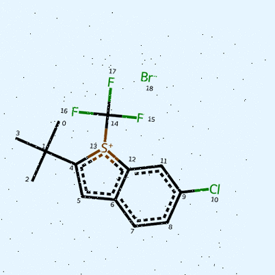 CC(C)(C)c1cc2ccc(Cl)cc2[s+]1C(F)(F)F.[Br-]